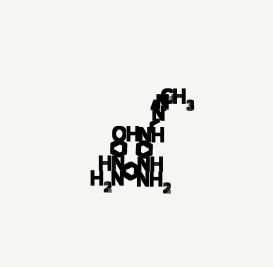 C[n+]1ccn(CCCNc2ccc(Nc3cc(Nc4ccc(O)cc4)c(N)cc3N)cc2)c1